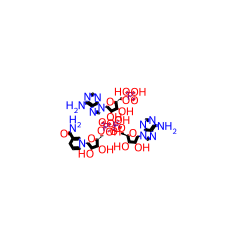 NC(=O)C1=CN([C@@H]2O[C@H](COP(=O)(O)OP(=O)(O)OC[C@H]3O[C@@H](n4cnc5c(N)ncnc54)[C@H](O)[C@@H]3O)[C@@H](O)[C@H]2O)C=CC1.Nc1ncnc2c1ncn2[C@@H]1O[C@H](COP(=O)(O)O)[C@@H](O)[C@H]1O